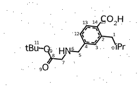 CC(C)Cc1cc(CNCC(=O)OC(C)(C)C)ccc1C(=O)O